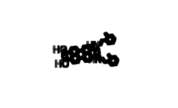 Cc1ccccc1CCNC(=O)c1ccc2c3ccc(C(=O)O)c4c(C(=O)O)ccc(c5ccc(C(=O)NCCc6ccccc6C)c1c25)c43